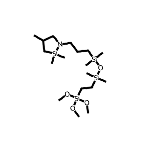 CO[Si](CC[Si](C)(C)O[Si](C)(C)CCCN1CC(C)C[Si]1(C)C)(OC)OC